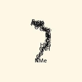 CNCCOCCOCCC(=O)NCCNC(=O)c1ccc(-c2cn(Cc3cccc4c3CN(C(=O)C[C@@H]3C[C@@H](C(=O)C5CC(F)(F)C[C@H]5C#N)NC3=O)C4)nn2)cc1